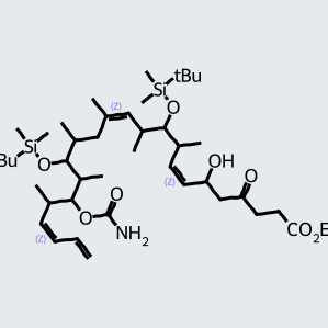 C=C/C=C\C(C)C(OC(N)=O)C(C)C(O[Si](C)(C)C(C)(C)C)C(C)C/C(C)=C\C(C)C(O[Si](C)(C)C(C)(C)C)C(C)/C=C\C(O)CC(=O)CCC(=O)OCC